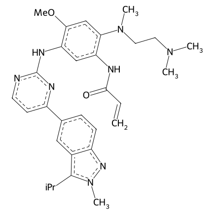 C=CC(=O)Nc1cc(Nc2nccc(-c3ccc4nn(C)c(C(C)C)c4c3)n2)c(OC)cc1N(C)CCN(C)C